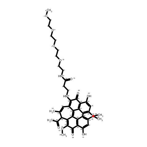 COCCOCCOCCOCCNC(=O)CCNc1c2c3c4c(c(OC)c(=O)c5c(O)cc(OC)c(c6c(OC)cc(O)c(c1=O)c63)c54)C(C(C)=O)C(C)=C2